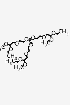 CCOC(COCCOP(OCCOCC(OC)OCC)OCCOCC(OC)OCC)OC